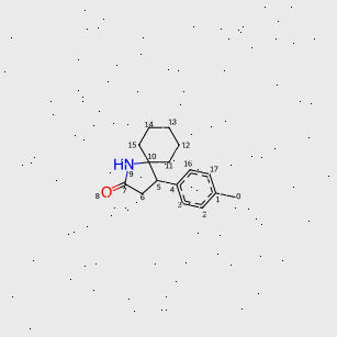 Cc1ccc(C2CC(=O)NC23CCCCC3)cc1